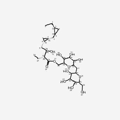 CC[C@H]1C[C@H]1C[C@H]1C[C@H]1C[C@@H](O)[C@@H](CC)C(=O)OCC1OC(CC2OC(CO)C(O)C(O)C2O)C(O)C(O)C1O